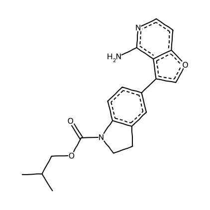 CC(C)COC(=O)N1CCc2cc(-c3coc4ccnc(N)c34)ccc21